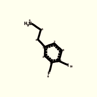 Fc1cc(CC[SiH3])ccc1I